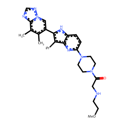 COCCNCC(=O)N1CCN(c2ccc3[nH]c(-c4cn5ncnc5c(C)c4C)c(C(C)C)c3n2)CC1